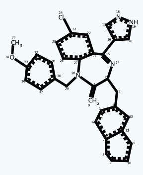 C=C1C(Cc2ccc3ccccc3c2)N=C(c2cn[nH]c2)c2cc(Cl)ccc2N1Cc1ccc(OC)cc1